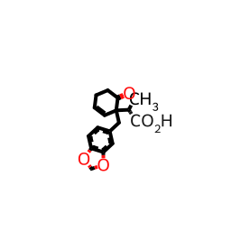 CC(C(=O)O)C1(Cc2ccc3c(c2)OCO3)C=CCCC1=O